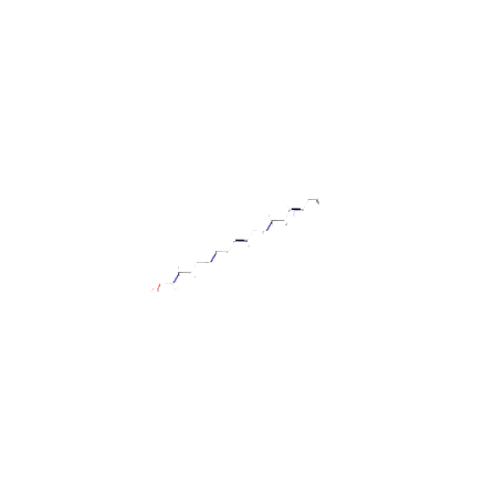 CC/C=C/C/C=C/C/C=C/C/C=C/CC/C=C/C=O